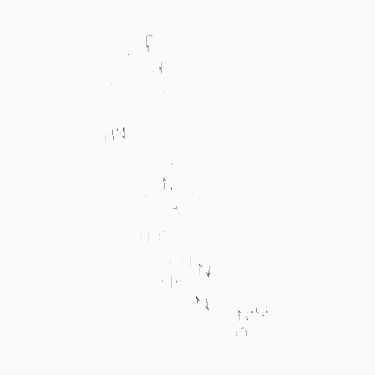 CC(O)(COC(=O)N1CCC(Nc2ccc(C(F)(F)F)cc2)CC1)Cn1cc([N+](=O)[O-])nc1Cl